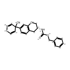 N#CC1(c2ccc3c(c2)OC[C@H](NC(=O)OCc2ccccc2)C3)C=CSN=C1